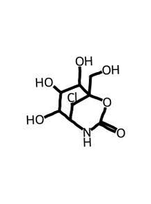 O=C1NC2C(O)C(O)C(O)C(CO)(O1)C2Cl